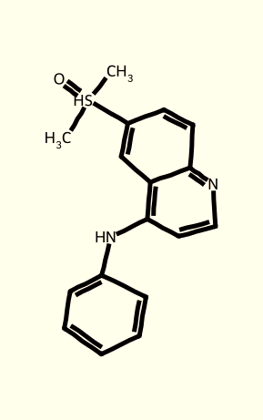 C[SH](C)(=O)c1ccc2nccc(Nc3ccccc3)c2c1